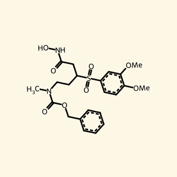 COc1ccc(S(=O)(=O)C(CCN(C)C(=O)OCc2ccccc2)CC(=O)NO)cc1OC